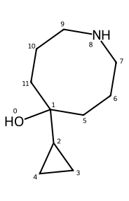 OC1(C2CC2)CCCNCCC1